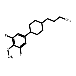 CCCCC1CCC(c2cc(F)c(OC)c(F)c2)CC1